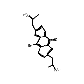 CCCCC(C)Cc1ccc2c(Br)c3cc(CC(C)CCCC)ccc3c(Br)c2c1